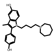 Cc1c(-c2ccc(O)cc2)n(CCCCN2CCCCCC2)c2ccc(O)cc12